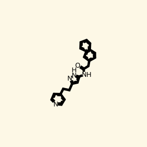 O=C(Cc1ccc2ccccc2c1)Nc1cc(CCc2ccncc2)n[nH]1